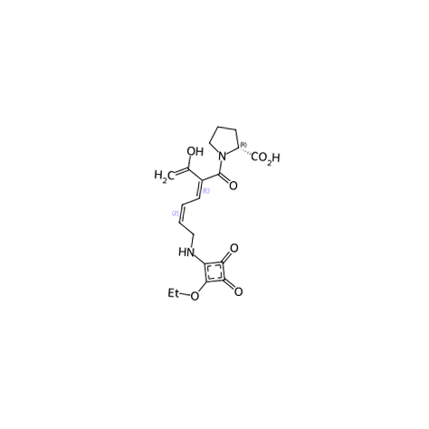 C=C(O)/C(=C\C=C/CNc1c(OCC)c(=O)c1=O)C(=O)N1CCC[C@@H]1C(=O)O